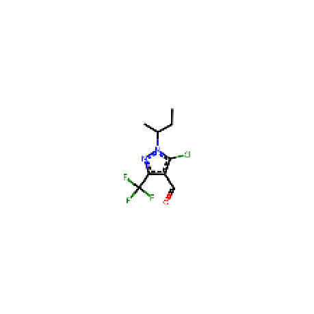 CCC(C)n1nc(C(F)(F)F)c(C=O)c1Cl